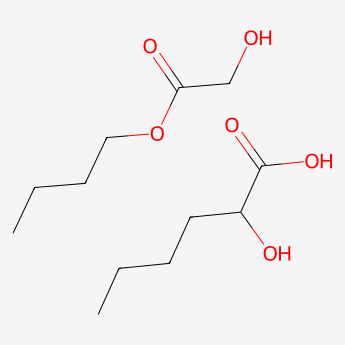 CCCCC(O)C(=O)O.CCCCOC(=O)CO